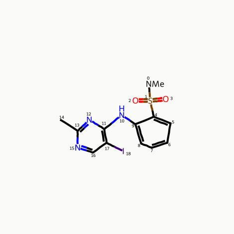 CNS(=O)(=O)c1ccccc1Nc1nc(C)ncc1I